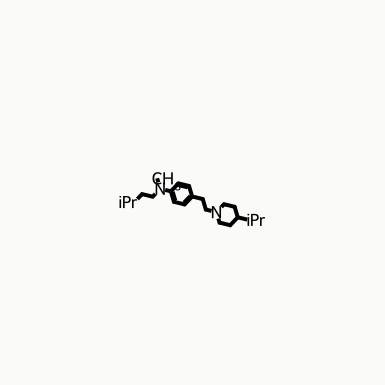 CC(C)CCN(C)c1ccc(CCN2CCC(C(C)C)CC2)cc1